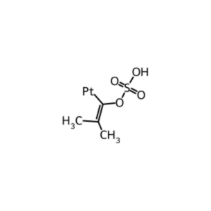 CC(C)=[C]([Pt])OS(=O)(=O)O